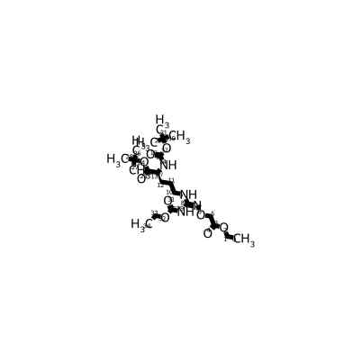 CCOC(=O)CON=C(NCCC[C@H](NC(=O)OC(C)(C)C)C(=O)OC(C)(C)C)NC(=O)OCC